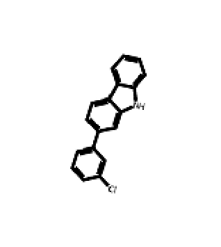 Clc1cccc(-c2ccc3c(c2)[nH]c2ccccc23)c1